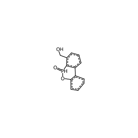 O=[PH]1Oc2ccccc2-c2cccc(CO)c21